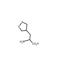 NC(CC1CSSC1)C(=O)O